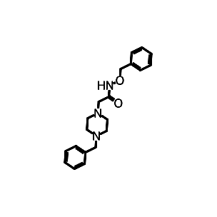 O=C(CN1CCN(Cc2ccccc2)CC1)NOCc1ccccc1